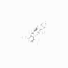 CCOCc1nc2c(N)nc(C)c(C)c2n1CC(C)(C)NC(=O)N1CCOCC1